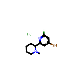 CN1CCCCC1c1cc(S)cc(Cl)n1.Cl